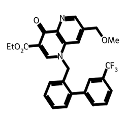 CCOC(=O)c1cn(Cc2ccccc2-c2cccc(C(F)(F)F)c2)c2cc(COC)cnc2c1=O